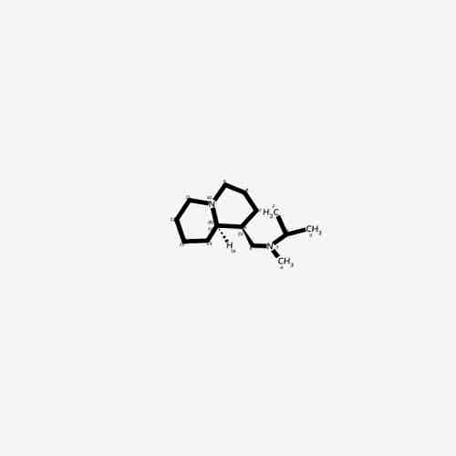 CC(C)N(C)C[C@@H]1CCCN2CCCC[C@H]12